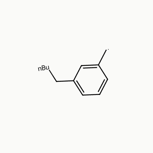 [CH2]c1cccc(CCCCC)c1